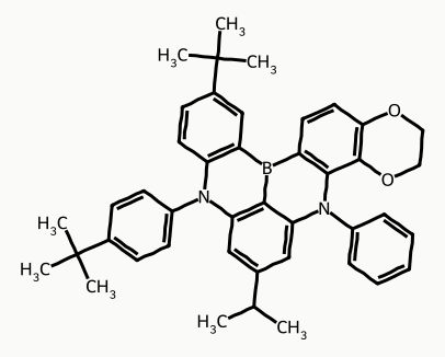 CC(C)c1cc2c3c(c1)N(c1ccccc1)c1c(ccc4c1OCCO4)B3c1cc(C(C)(C)C)ccc1N2c1ccc(C(C)(C)C)cc1